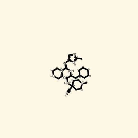 Cc1ncc(/N=C(\NC(CC2CCCCC2)C(=O)NC2(C#N)CCN(C)CC2)N2CCOCC2)o1